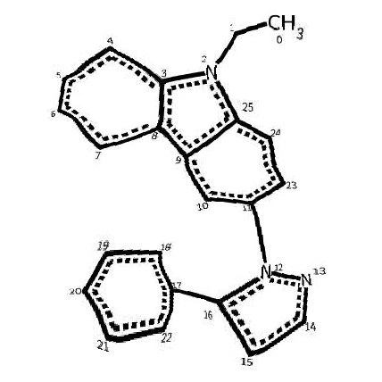 CCn1c2ccccc2c2cc(-n3nccc3-c3ccccc3)ccc21